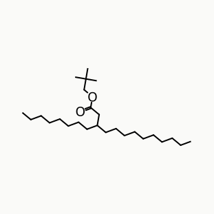 CCCCCCCCCCC(CCCCCCCC)CC(=O)OCC(C)(C)C